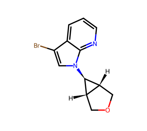 Brc1cn([C@H]2[C@@H]3COC[C@@H]32)c2ncccc12